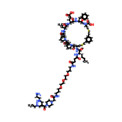 CCCC[C@H](NC(=O)CCC(=O)NCCCOCCOCCOCCCNC(=O)CN1CCN(C(=O)C(CNCC)CNCCN)CC1)C(=O)N[C@H]1CSCc2cccc(c2)CSC[C@@H](C(=O)O)NC(=O)[C@H](Cc2ccccc2)NC(=O)[C@H](CCC(=O)O)NC(=O)[C@H](CC)NC(=O)[C@@H]2CCCN2C(=O)[C@@H]2CCCN2C1=O